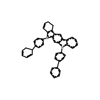 C1=CCC(c2ccc(-n3c4c(c5cc6c7ccccc7n(-c7ccc(-c8ccccc8)cc7)c6cc53)CCC=C4)cc2)C=C1